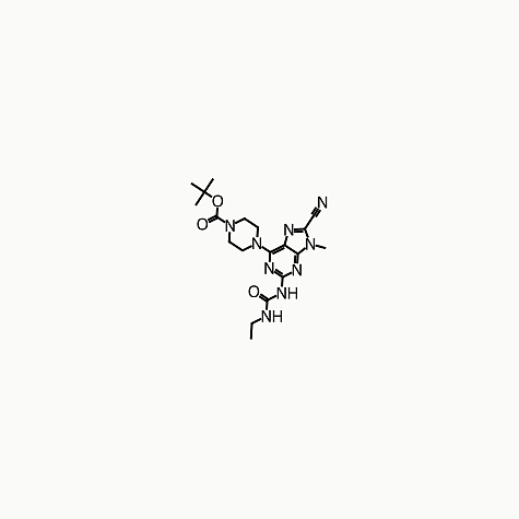 CCNC(=O)Nc1nc(N2CCN(C(=O)OC(C)(C)C)CC2)c2nc(C#N)n(C)c2n1